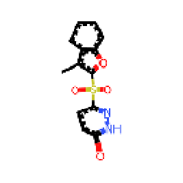 Cc1c(S(=O)(=O)c2ccc(=O)[nH]n2)oc2ccccc12